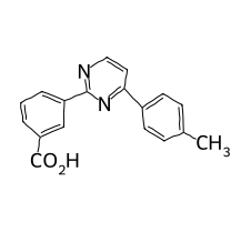 Cc1ccc(-c2ccnc(-c3cccc(C(=O)O)c3)n2)cc1